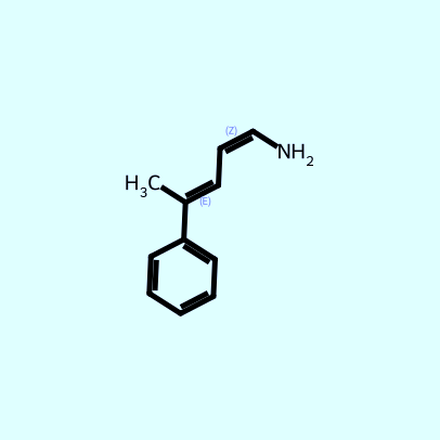 C/C(=C\C=C/N)c1ccccc1